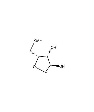 CSC[C@H]1O[CH][C@H](O)[C@H]1O